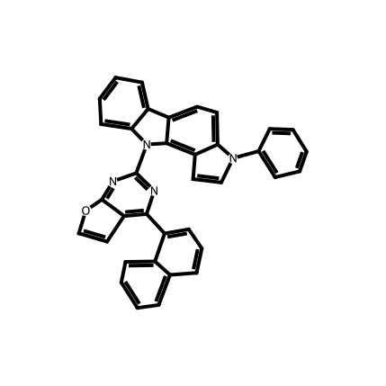 c1ccc(-n2ccc3c2ccc2c4ccccc4n(-c4nc(-c5cccc6ccccc56)c5ccoc5n4)c23)cc1